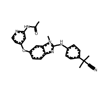 CC(=O)Nc1cc(Oc2ccc3nc(Nc4ccc(C(C)(C)C#N)cc4)n(C)c3c2)ccn1